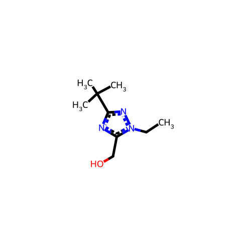 CCn1nc(C(C)(C)C)nc1CO